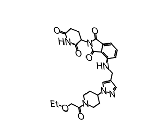 CCOCC(=O)N1CCC(n2cc(CNc3cccc4c3C(=O)N(C3CCC(=O)NC3=O)C4=O)cn2)CC1